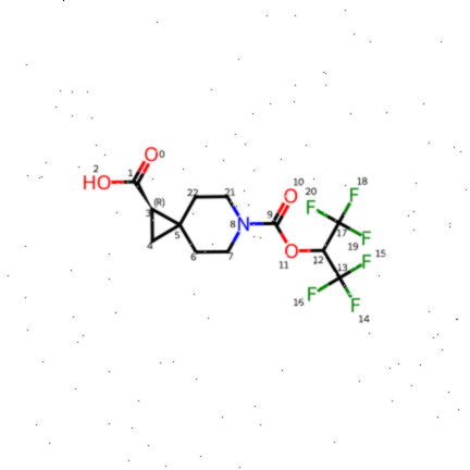 O=C(O)[C@@H]1CC12CCN(C(=O)OC(C(F)(F)F)C(F)(F)F)CC2